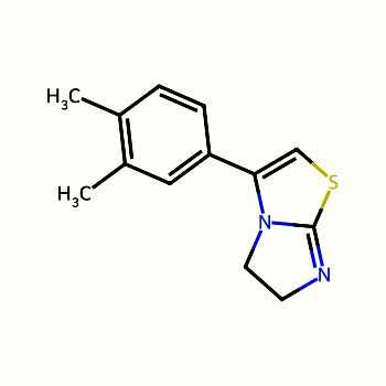 Cc1ccc(C2=CSC3=NCCN23)cc1C